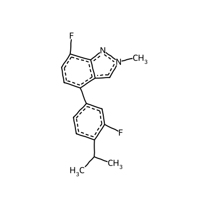 CC(C)c1ccc(-c2ccc(F)c3nn(C)cc23)cc1F